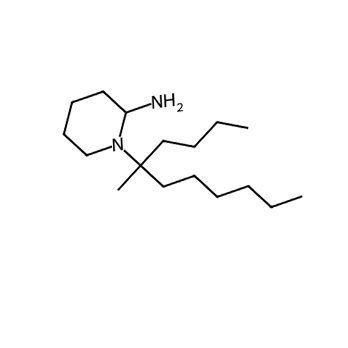 CCCCCCC(C)(CCCC)N1CCCCC1N